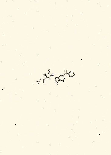 O=C1NC(NCC2CC2)=N/C1=C\c1c[nH]c2ncc(Nc3ccccc3)cc12